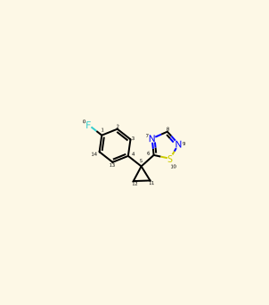 Fc1ccc(C2(c3ncns3)CC2)cc1